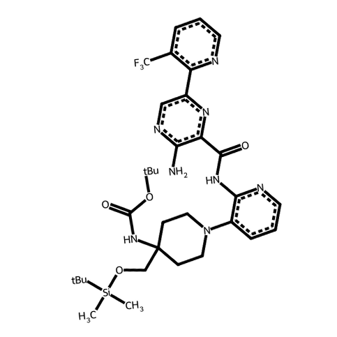 CC(C)(C)OC(=O)NC1(CO[Si](C)(C)C(C)(C)C)CCN(c2cccnc2NC(=O)c2nc(-c3ncccc3C(F)(F)F)cnc2N)CC1